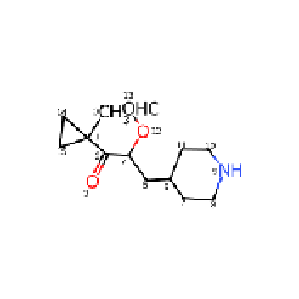 CC1(C(=O)C(CC2CCNCC2)OC=O)CC1